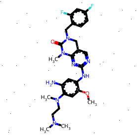 COc1cc(N(C)CCN(C)C)c(N)cc1Nc1ncc2c(n1)N(C)C(=O)N(Cc1ccc(F)cc1F)C2